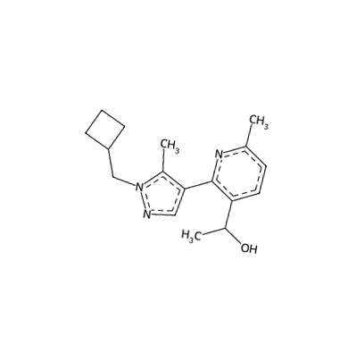 Cc1ccc(C(C)O)c(-c2cnn(CC3CCC3)c2C)n1